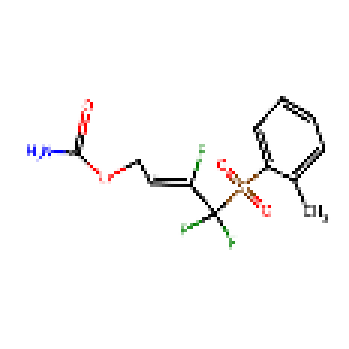 Cc1ccccc1S(=O)(=O)C(F)(F)C(F)=CCOC(N)=O